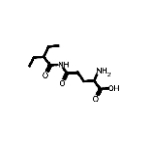 CCC(CC)C(=O)NC(=O)CCC(N)C(=O)O